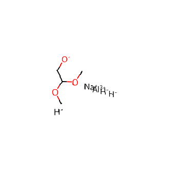 COC(C[O-])OC.[Al+3].[H-].[H-].[H-].[Na+]